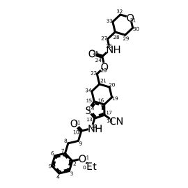 CCOc1ccccc1CCC(=O)Nc1sc2c(c1C#N)CCC(COC(=O)NCC1CCOCC1)C2